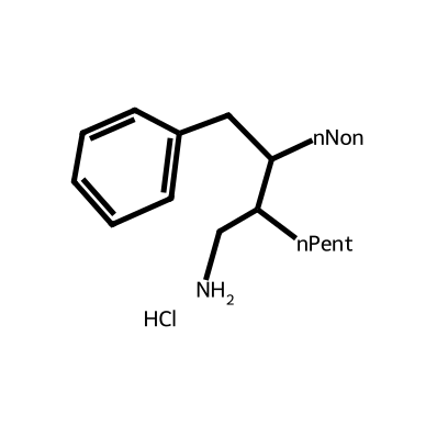 CCCCCCCCCC(Cc1ccccc1)C(CN)CCCCC.Cl